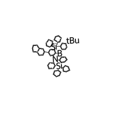 CC(C)(C)c1ccc2c(c1)[Si](c1ccccc1)(c1ccccc1)c1cc(-c3ccc4ccccc4c3)cc3c1B2c1cccc2c1N3c1ccccc1[Si]2(c1ccccc1)c1ccccc1